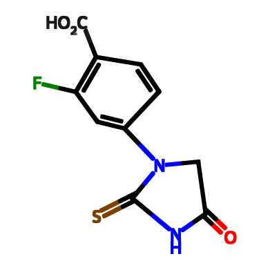 O=C1CN(c2ccc(C(=O)O)c(F)c2)C(=S)N1